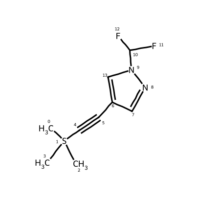 CS(C)(C)C#Cc1cnn(C(F)F)c1